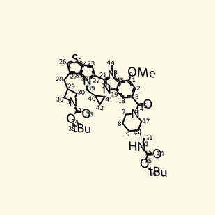 COc1cc(C(=O)N2CCC[C@@H](CNC(=O)OC(C)(C)C)C2)cc2nc(-c3cc4scc(CC5CN(C(=O)OC(C)(C)C)C5)c4n3CC3CC3)n(C)c12